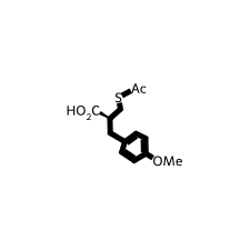 COc1ccc(C[C@H](CSC(C)=O)C(=O)O)cc1